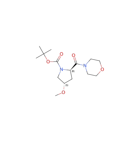 CO[C@H]1C[C@H](C(=O)N2CCOCC2)N(C(=O)OC(C)(C)C)C1